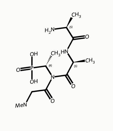 CNCC(=O)N(C(=O)[C@H](C)NC(=O)[C@H](C)N)[C@@H](C)P(=O)(O)O